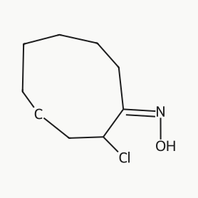 ON=C1CCCCCCCC1Cl